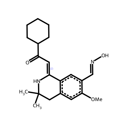 COc1cc2c(cc1C=NO)/C(=C/C(=O)C1CCCCC1)NC(C)(C)C2